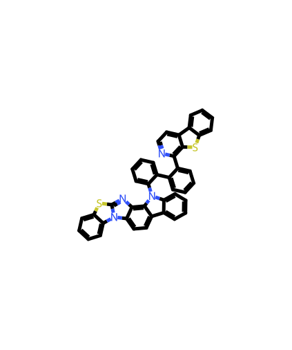 c1ccc(-c2nccc3c2sc2ccccc23)c(-c2ccccc2-n2c3ccccc3c3ccc4c(nc5sc6ccccc6n54)c32)c1